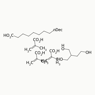 C=C(C)C(=O)O.C=C(C)C(=O)O.C=C(C)C(=O)O.CCCCCCCCCCCCCCCCCC(=O)O.OCCC(CO)CO